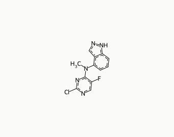 CN(c1nc(Cl)ncc1F)c1cccc2[nH]ncc12